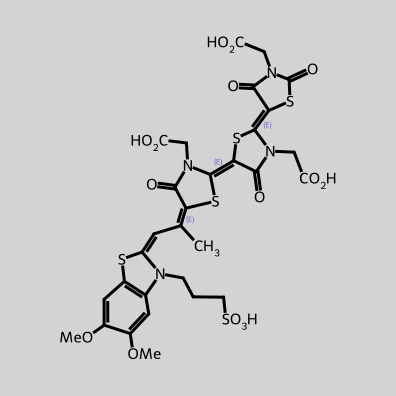 COc1cc2c(cc1OC)N(CCCS(=O)(=O)O)C(=C/C(C)=c1/s/c(=c3/s/c(=C4/SC(=O)N(CC(=O)O)C4=O)n(CC(=O)O)c3=O)n(CC(=O)O)c1=O)S2